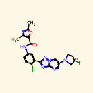 Cc1nc(C)c(C(=O)Nc2ccc(F)c(-c3nc4ncc(N5CC[C@@H](F)C5)cn4n3)c2)o1